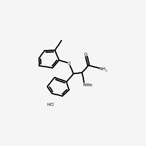 CNC(C(N)=O)C(Oc1ccccc1C)c1ccccc1.Cl